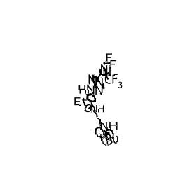 CCc1cc(Nc2nccn3c(-c4cn(CC(F)F)nc4C(F)(F)F)cnc23)ccc1C(=O)NCCCCCNC(=O)OC(C)(C)C